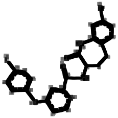 O=C(NC1CCc2ccc(Br)cc2NC1=O)c1cc(Oc2ccc(F)cc2)ccn1